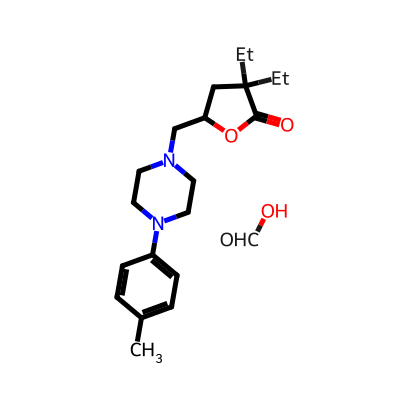 CCC1(CC)CC(CN2CCN(c3ccc(C)cc3)CC2)OC1=O.O=CO